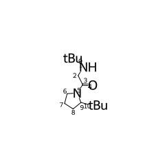 CC(C)(C)NCC(=O)N1CCCC1C(C)(C)C